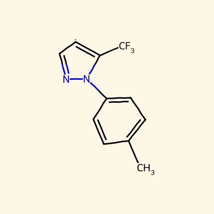 Cc1ccc(-n2nc[c]c2C(F)(F)F)cc1